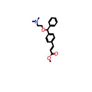 COC(=O)/C=C/c1ccc(C(OCCN(C)C)c2ccccc2)cc1